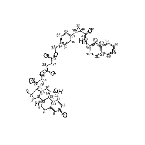 C[C@@H]1CC2[C@@H]3CCC4=CC(=O)C=C[C@]4(C)C3[C@@H](O)C[C@]2(C)[C@H]1C(=O)COC(=O)CCC(=O)OCc1ccc(C2CC2C(=O)Nc2ccc3cnccc3c2)cc1